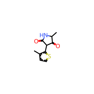 Cc1ccsc1C1C(=O)NC(C)C1=O